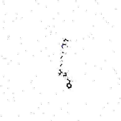 CC1(C)S[C@@H]2[C@H](NC(=O)C(N)c3ccc(O)cc3)C(=O)N2C1C(=O)OCCSSCCOC(=O)OC/C=C1/O[C@H]2CC(=O)N2[C@@H]1C=O